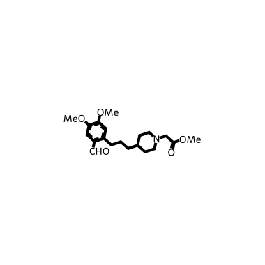 COC(=O)CN1CCC(CCCc2cc(OC)c(OC)cc2C=O)CC1